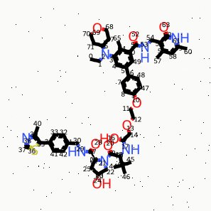 CCN(c1cc(-c2ccc(OCCOCC(O)N[C@H](C(=O)N3C[C@H](O)C[C@H]3C(=O)NCc3ccc(-c4scnc4C)cc3)C(C)(C)C)cc2)cc(C(=O)NCc2c(C)cc(C)[nH]c2=O)c1C)C1CCOCC1